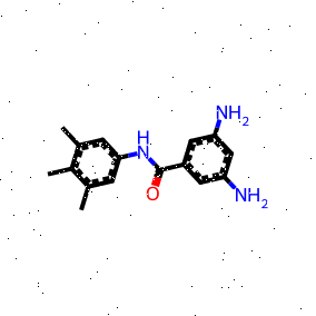 Cc1cc(NC(=O)c2cc(N)cc(N)c2)cc(C)c1C